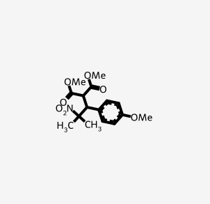 COC(=O)C(C(=O)OC)C(c1ccc(OC)cc1)C(C)(C)[N+](=O)[O-]